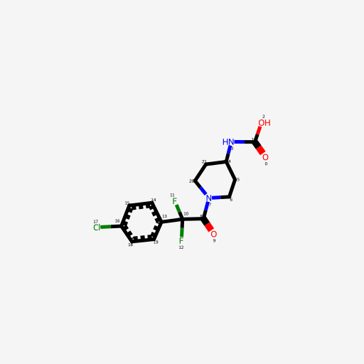 O=C(O)NC1CCN(C(=O)C(F)(F)c2ccc(Cl)cc2)CC1